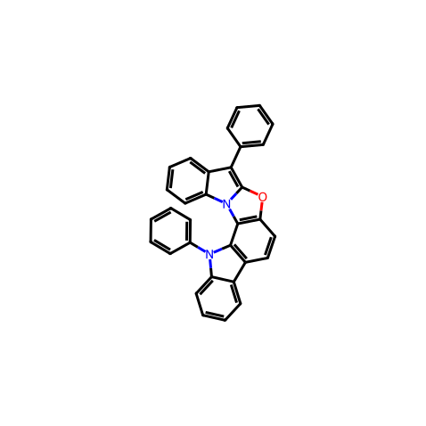 c1ccc(-c2c3ccccc3n3c2oc2ccc4c5ccccc5n(-c5ccccc5)c4c23)cc1